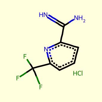 Cl.N=C(N)c1cccc(C(F)(F)F)n1